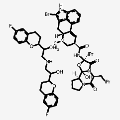 CC(C)C[C@H]1C(=O)N2CCC[C@H]2[C@]2(O)O[C@](NC(=O)[C@@H]3C=C4c5cccc6[nH]c(Br)c(c56)C[C@H]4N(C)C3)(C(C)C)C(=O)N12.OC(CNCC(O)C1CCc2cc(F)ccc2O1)C1CCc2cc(F)ccc2O1